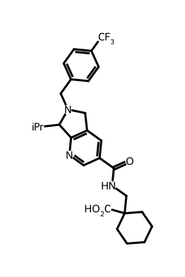 CC(C)C1c2ncc(C(=O)NCC3(C(=O)O)CCCCC3)cc2CN1Cc1ccc(C(F)(F)F)cc1